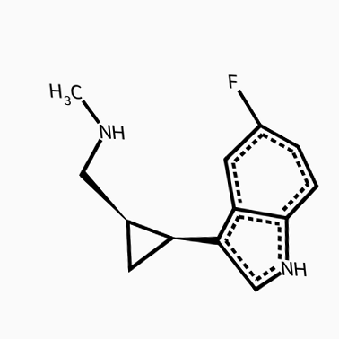 CNC[C@@H]1C[C@@H]1c1c[nH]c2ccc(F)cc12